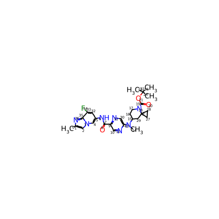 Cc1cn2cc(NC(=O)c3cnc(N(C)C4CCN(C(=O)OC(C)(C)C)C5(CC5)C4)cn3)cc(F)c2n1